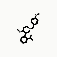 COc1ccc(CN2CCC(SC)C(c3ccccc3C(C)C)C2)cc1